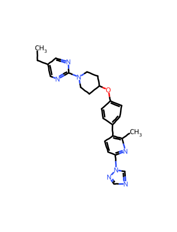 CCc1cnc(N2CCC(Oc3ccc(-c4ccc(-n5cncn5)nc4C)cc3)CC2)nc1